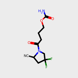 N#CC1CC(F)(F)CN1C(=O)CCCOC(N)=O